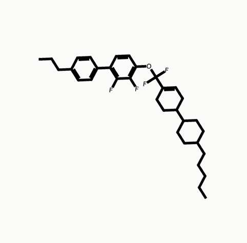 CCCCCC1CCC(C2CC=C(C(F)(F)Oc3ccc(-c4ccc(CCC)cc4)c(F)c3F)CC2)CC1